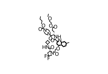 CCCCOC(=O)N1CCN(C(=O)[C@H](CCC(=O)OCCOCC)NC(=O)c2cc(OCC(=O)N3CC(F)(F)C[C@H]3C(=O)NC3CCC3)c3ccc(C)cc3n2)CC1